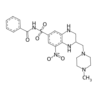 CN1CCN(CC2CNc3cc(S(=O)(=O)NC(=O)c4ccccc4)cc([N+](=O)[O-])c3N2)CC1